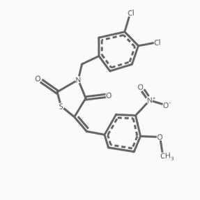 COc1ccc(C=C2SC(=O)N(Cc3ccc(Cl)c(Cl)c3)C2=O)cc1[N+](=O)[O-]